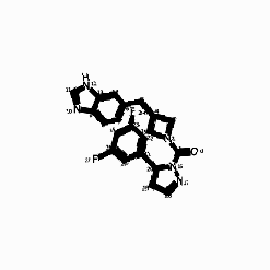 O=C(N1CC(Cc2ccc3nc[nH]c3c2)C1)N1N=CCC1c1cc(F)cc(F)c1